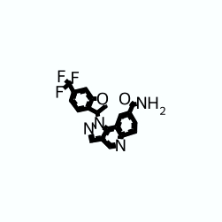 NC(=O)c1ccc2ncc3cnn(C4COc5cc(C(F)(F)F)ccc54)c3c2c1